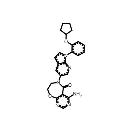 Nc1ncnc2c1C(=O)N(c1cnc3c(ccn3-c3ccccc3OC3CCCC3)c1)CCO2